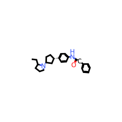 CCC1CCCN1C1CC[C@H](c2ccc(NC(=O)Cc3ccccc3)cc2)C1